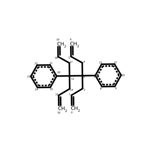 C=CCC(CC=C)(c1ccccc1)C(CC=C)(CC=C)c1ccccc1